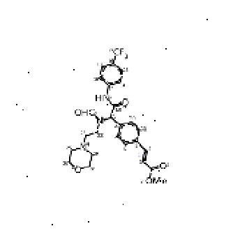 COC(=O)/C=C/c1ccc(C(C(=O)Nc2ccc(C(F)(F)F)cc2)N(C=O)CCN2CCOCC2)cc1